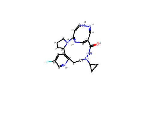 O=C1NN(C2CC2)CCc2ncc(F)cc2C2CCCN2c2cc[nH]ncc1cn2